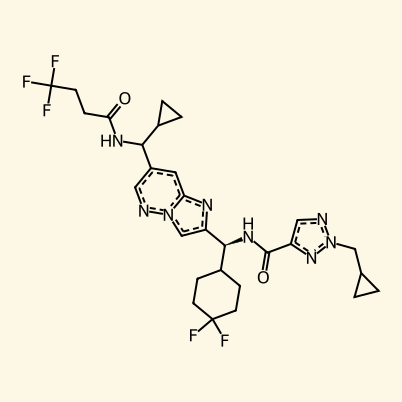 O=C(CCC(F)(F)F)NC(c1cnn2cc([C@@H](NC(=O)c3cnn(CC4CC4)n3)C3CCC(F)(F)CC3)nc2c1)C1CC1